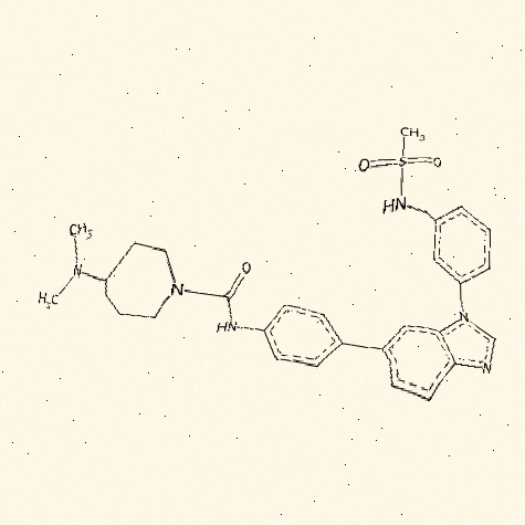 CN(C)C1CCN(C(=O)Nc2ccc(-c3ccc4ncn(-c5cccc(NS(C)(=O)=O)c5)c4c3)cc2)CC1